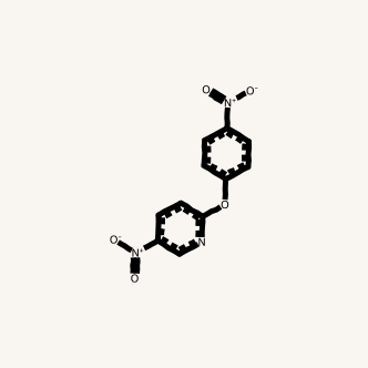 O=[N+]([O-])c1ccc(Oc2ccc([N+](=O)[O-])cn2)cc1